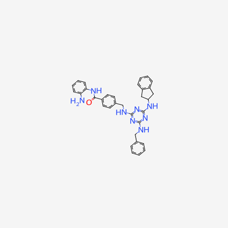 Nc1ccccc1NC(=O)c1ccc(CNc2nc(NCc3ccccc3)nc(NC3Cc4ccccc4C3)n2)cc1